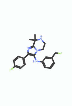 CC1(C)NCCn2c1nc(-c1ccc(F)cc1)c2Nc1cccc(CF)c1